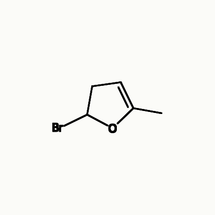 CC1=CCC(Br)O1